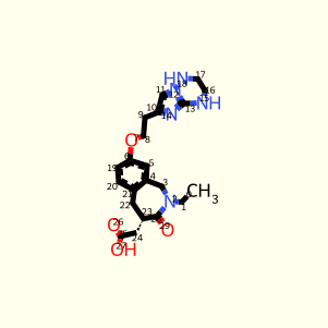 CCN1Cc2cc(OCCc3cn4c(n3)NCCN4)ccc2C[C@@H](CC(=O)O)C1=O